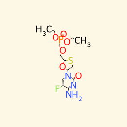 CCOP(=O)(COCC1OC(n2cc(F)c(N)nc2=O)CS1)OCC